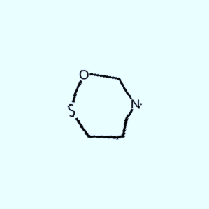 C1CSOC[N]1